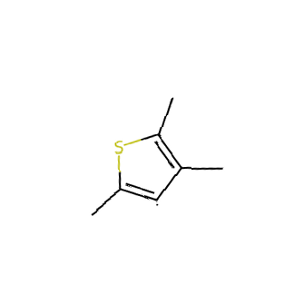 Cc1[c]c(C)c(C)s1